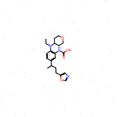 CCN(c1ccc(C(C)CCc2cnco2)cc1NC(=O)O)C1CCOCC1